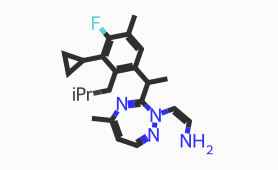 CC1=CC=NN(/C=C\N)C(C(C)c2cc(C)c(F)c(C3CC3)c2CC(C)C)=N1